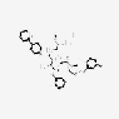 CC(C)(C)[C@H](NC(=O)O)C(=O)N[C@@H](Cc1ccc(-c2ccccn2)cc1)C[C@H](O)[C@H](Cc1ccccc1)NC(=O)[C@@H](N1CCN(Cc2cccc(F)c2)C1=O)C(C)(C)C